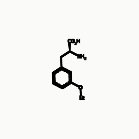 CCOc1cccc(C[C@H](N)C(=O)O)c1